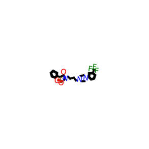 O=C1C(c2ccccc2)S(=O)(=O)CN1CCCCN1CCN(c2cccc(C(F)(F)F)c2)CC1